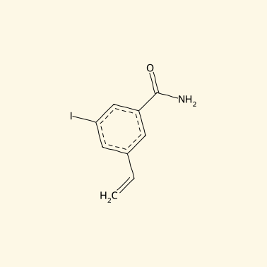 C=Cc1cc(I)cc(C(N)=O)c1